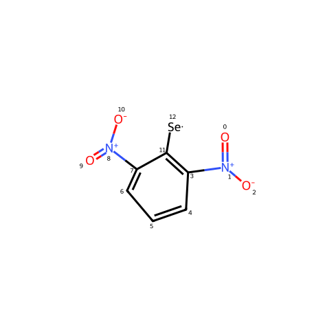 O=[N+]([O-])c1cccc([N+](=O)[O-])c1[Se]